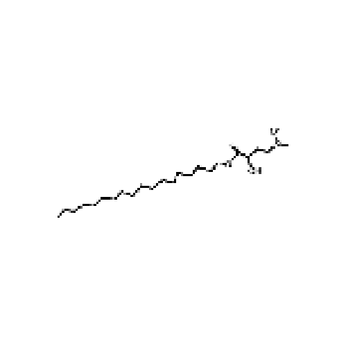 CCCCCCCCCCCCCCCCCCOC(=O)C(O)CC[S+](C)[O-]